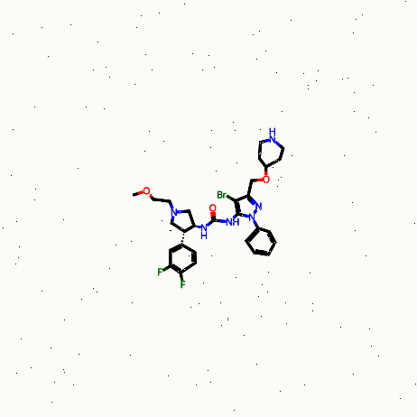 COCCN1C[C@@H](NC(=O)Nc2c(Br)c(COC3CCNCC3)nn2-c2ccccc2)[C@H](c2ccc(F)c(F)c2)C1